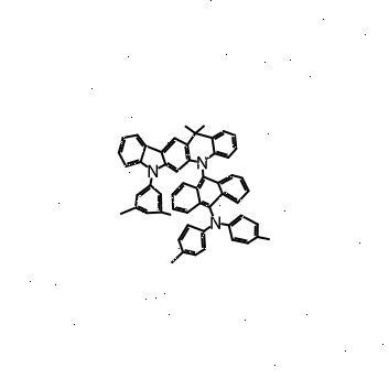 Cc1ccc(N(c2ccc(C)cc2)c2c3ccccc3c(N3c4ccccc4C(C)(C)c4cc5c6ccccc6n(-c6cc(C)cc(C)c6)c5cc43)c3ccccc23)cc1